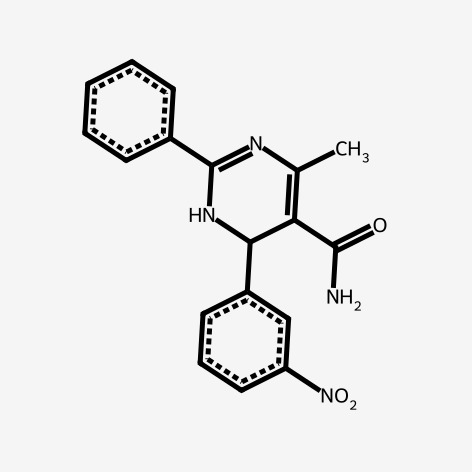 CC1=C(C(N)=O)C(c2cccc([N+](=O)[O-])c2)NC(c2ccccc2)=N1